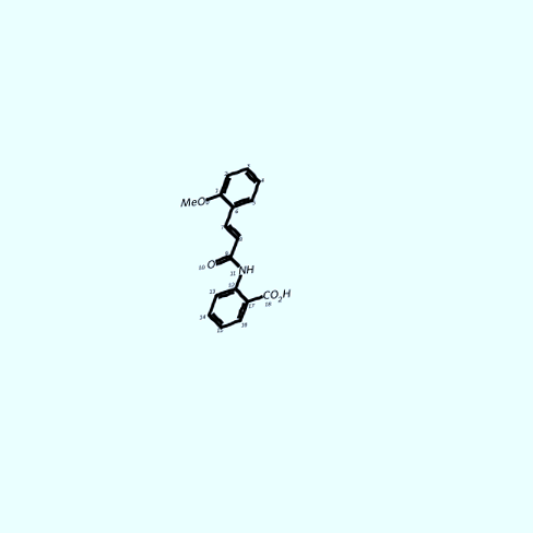 COc1ccccc1C=CC(=O)Nc1ccccc1C(=O)O